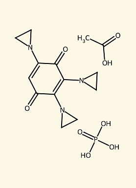 CC(=O)O.O=C1C=C(N2CC2)C(=O)C(N2CC2)=C1N1CC1.O=P(O)(O)O